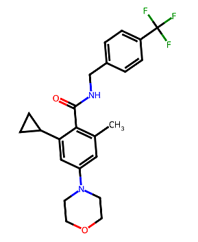 Cc1cc(N2CCOCC2)cc(C2CC2)c1C(=O)NCc1ccc(C(F)(F)F)cc1